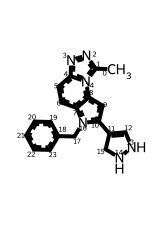 Cc1nnc2ccc3c(cc(C4=CNNC4)n3Cc3ccccc3)n12